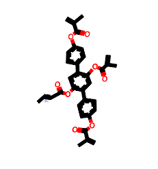 C=C(C)C(=O)Oc1ccc(-c2cc(OC(=O)C(=C)C)c(-c3ccc(OC(=O)C(=C)C)cc3)cc2OC(=O)/C=C/C)cc1